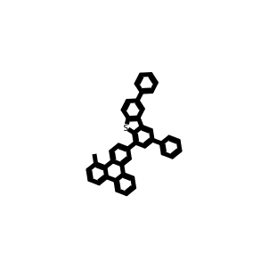 Cc1cccc2c3ccccc3c3cc(-c4cc(-c5ccccc5)cc5c4sc4ccc(-c6ccccc6)cc45)ccc3c12